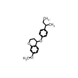 CCC(C)c1ccc(OC2CCOc3cc(OC)ccc32)cc1